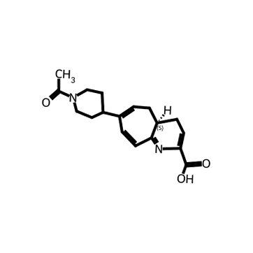 CC(=O)N1CCC(C2=CC[C@H]3CC=C(C(=O)O)N=C3C=C2)CC1